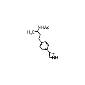 CC(=O)NC(C)CCc1ccc(C2CNC2)cc1